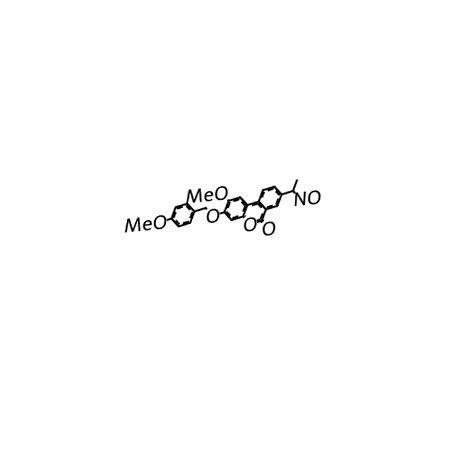 COc1ccc(COc2cc3oc(=O)c4cc(C(C)N=O)ccc4c3cc2OC)cc1